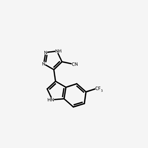 N#Cc1[nH]nnc1-c1c[nH]c2ccc(C(F)(F)F)cc12